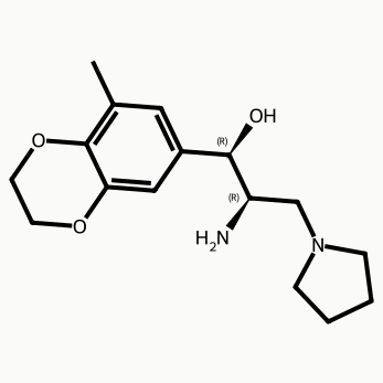 Cc1cc([C@@H](O)[C@H](N)CN2CCCC2)cc2c1OCCO2